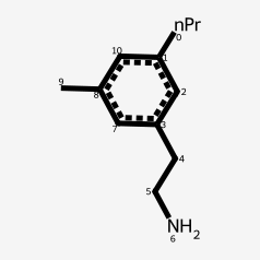 CCCc1[c]c(CCN)cc(C)c1